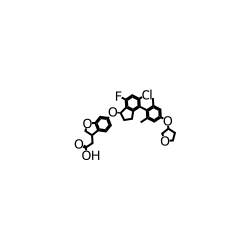 Cc1cc(OC2CCOC2)cc(C)c1-c1c(Cl)cc(F)c2c1CC[C@H]2Oc1ccc2c(c1)OCC2CC(=O)O